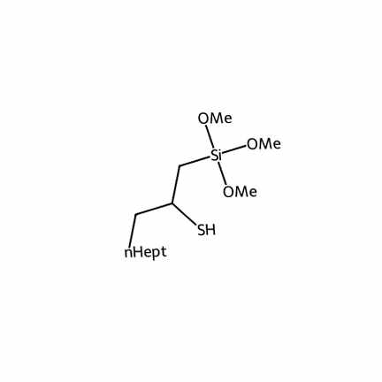 CCCCCCCCC(S)C[Si](OC)(OC)OC